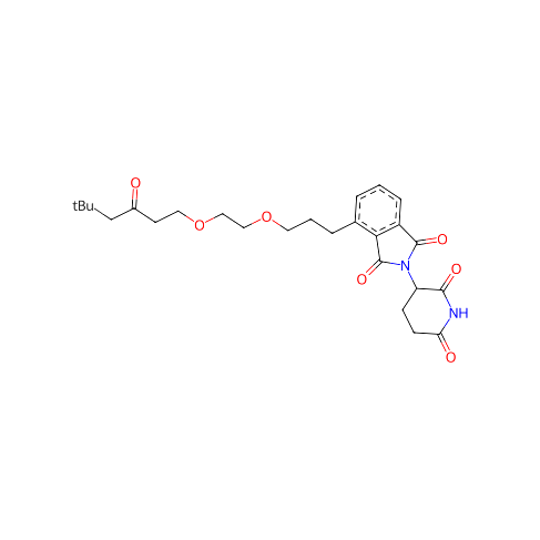 CC(C)(C)CC(=O)CCOCCOCCCc1cccc2c1C(=O)N(C1CCC(=O)NC1=O)C2=O